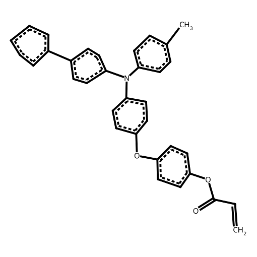 C=CC(=O)Oc1ccc(Oc2ccc(N(c3ccc(C)cc3)c3ccc(-c4ccccc4)cc3)cc2)cc1